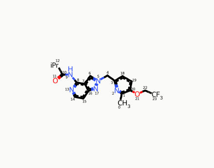 Cc1nc(Cn2cc3c(NC(=O)C(C)C)nccc3n2)ccc1OCC(F)(F)F